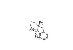 CC[C@]12CCCN[C@@]1(C)c1ccccc1C2